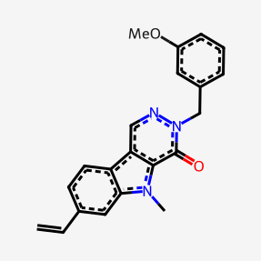 C=Cc1ccc2c3cnn(Cc4cccc(OC)c4)c(=O)c3n(C)c2c1